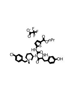 CCCOC(=O)c1ccc(NC(=O)N(C(=O)[C@@H](N)Cc2ccc(O)cc2)[C@H]2CCC[N+](C)(Cc3ccc(Cl)cc3)C2)s1.O=C([O-])C(F)(F)F